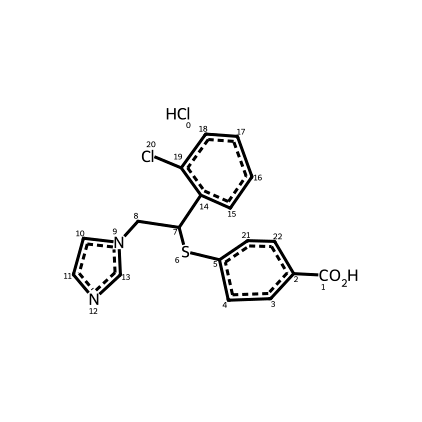 Cl.O=C(O)c1ccc(SC(Cn2ccnc2)c2ccccc2Cl)cc1